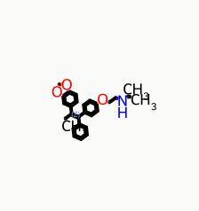 CC/C(=C(\c1ccccc1)c1ccc(OCCNC(C)C)cc1)c1ccc2c(c1)OCO2